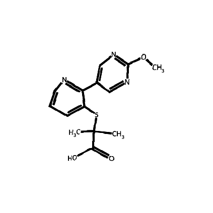 COc1ncc(-c2ncccc2SC(C)(C)C(=O)O)cn1